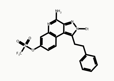 CCn1nc2c(N)nc3cc(OS(=O)(=O)C(F)(F)F)ccc3c2c1CCc1ccccc1